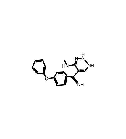 CNC1=NNNC=C1C(=N)c1ccc(Oc2ccccc2)cc1